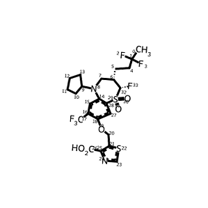 CC(F)(F)CC[C@H]1CN(C2CCCC2)c2cc(C(F)(F)F)c(OCc3scnc3C(=O)O)cc2S(=O)(=O)[C@H]1F